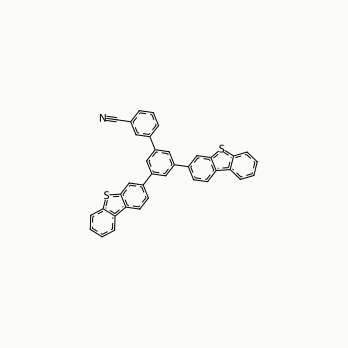 N#Cc1cccc(-c2cc(-c3ccc4c(c3)sc3ccccc34)cc(-c3ccc4c(c3)sc3ccccc34)c2)c1